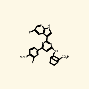 COc1ccc(-c2cc(NC3C4CCC(CC4)C3C(=O)O)nc(-c3c[nH]c4ncc(F)cc34)n2)cc1F